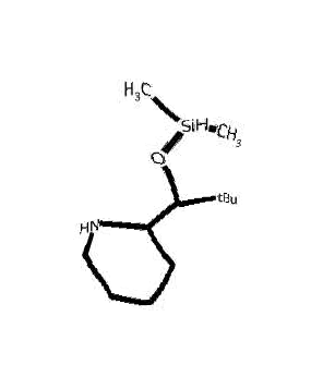 C[SiH](C)OC(C1CCCCN1)C(C)(C)C